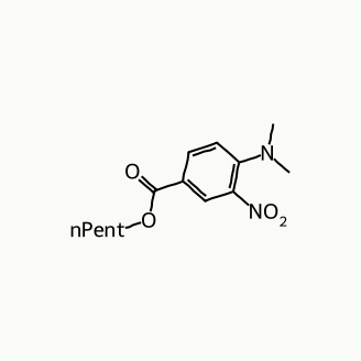 CCCCCOC(=O)c1ccc(N(C)C)c([N+](=O)[O-])c1